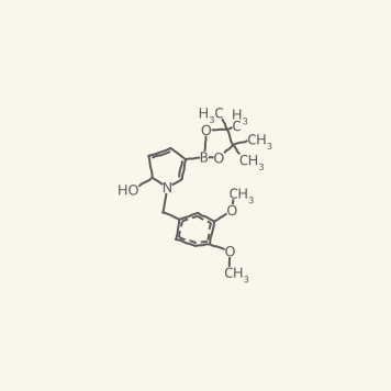 COc1ccc(CN2C=C(B3OC(C)(C)C(C)(C)O3)C=CC2O)cc1OC